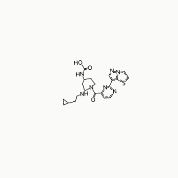 O=C(O)NC1CCN(C(=O)c2ccnc(-c3cnn4ccsc34)n2)C(NCCC2CC2)C1